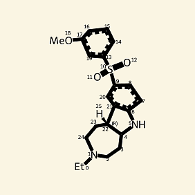 CCN1CCC2Nc3ccc(S(=O)(=O)c4cccc(OC)c4)cc3[C@H]2CC1